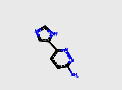 Nc1ccc(-c2cn[c][nH]2)nn1